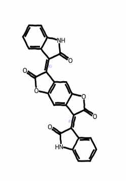 O=C1Nc2ccccc2/C1=C1\C(=O)Oc2cc3c(cc21)OC(=O)/C3=C1/C(=O)Nc2ccccc21